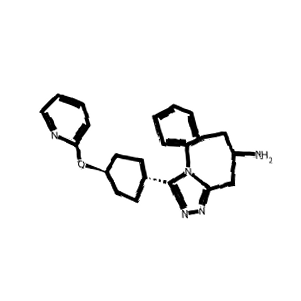 NC1Cc2ccccc2-n2c(nnc2[C@H]2CC[C@H](Oc3ccccn3)CC2)C1